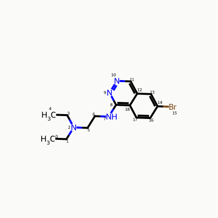 CCN(CC)CCNc1nncc2cc(Br)ccc12